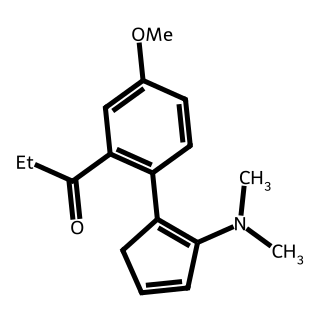 CCC(=O)c1cc(OC)ccc1C1=C(N(C)C)C=CC1